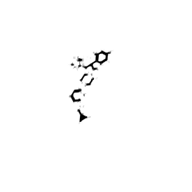 CC(N1CCN(c2cccc(OCC3CC3)n2)CC1)C(O)(Cn1cncn1)c1ccc(F)cc1F